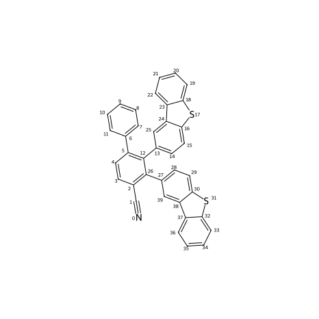 N#Cc1ccc(-c2ccccc2)c(-c2ccc3sc4ccccc4c3c2)c1-c1ccc2sc3ccccc3c2c1